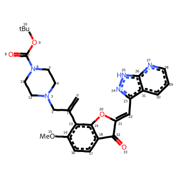 C=C(CN1CCN(C(=O)OC(C)(C)C)CC1)c1c(OC)ccc2c1O/C(=C\c1n[nH]c3ncccc13)C2=O